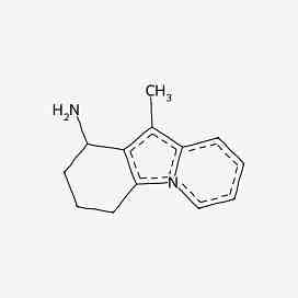 Cc1c2c(n3ccccc13)CCCC2N